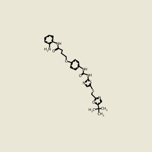 CC(C)(C)c1cnc(CSc2cnc(NC(=O)Nc3ccc(OCCCC(=O)Nc4ccccc4N)cc3)s2)o1